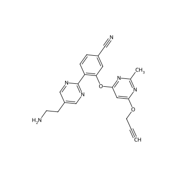 C#CCOc1cc(Oc2cc(C#N)ccc2-c2ncc(CCN)cn2)nc(C)n1